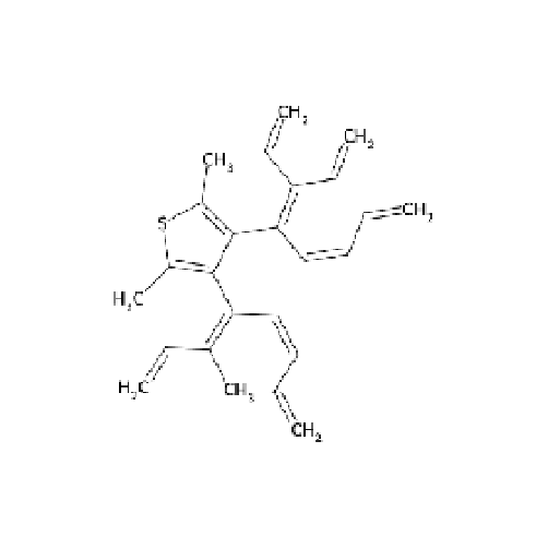 C=C/C=C\C(=C(C=C)C=C)c1c(C)sc(C)c1C(/C=C\C=C)=C(/C)C=C